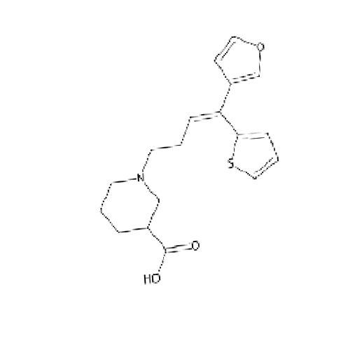 O=C(O)C1CCCN(CCC=C(c2ccoc2)c2cccs2)C1